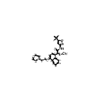 CC(C)(C)c1cc(NC(=O)C(=NO)c2ccc(OCCN3CCOCC3)c3ccccc23)no1